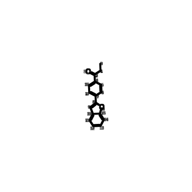 CCC(=O)c1ccc(-c2cc3ccccc3o2)cc1